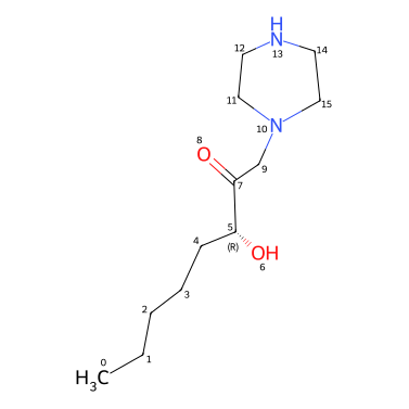 CCCCC[C@@H](O)C(=O)CN1CCNCC1